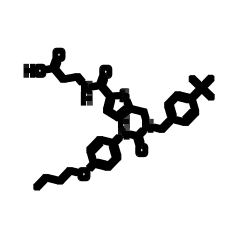 CCCCOc1ccc(NC(=O)N(Cc2ccc(C(C)(C)C)cc2)Cc2ccc(C(=O)NCCC(=O)O)s2)cc1